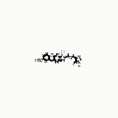 Cc1[nH]cnc1CSCCNc1nc(=O)c(Cc2cccc(O)c2)n[nH]1